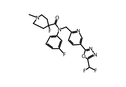 CN1CCC(F)(C(=O)N(Cc2ccc(-c3nnc(C(F)F)o3)cn2)c2cccc(F)c2)CC1